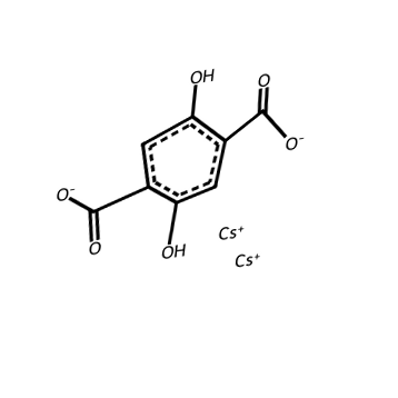 O=C([O-])c1cc(O)c(C(=O)[O-])cc1O.[Cs+].[Cs+]